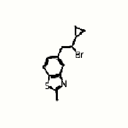 Cc1nc2cc(CC(Br)C3CC3)ccc2s1